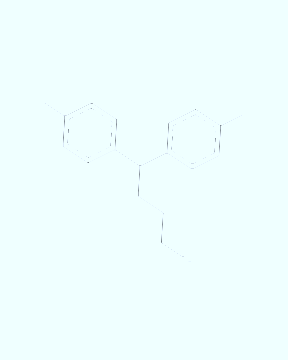 Fc1ccc(C(CCCBr)c2ccc(F)cc2)cc1